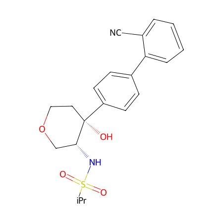 CC(C)S(=O)(=O)N[C@@H]1COCC[C@@]1(O)c1ccc(-c2ccccc2C#N)cc1